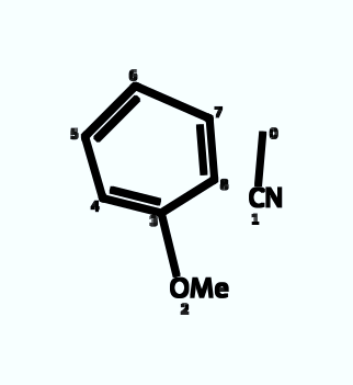 CC#N.COc1ccccc1